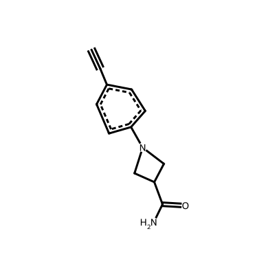 C#Cc1ccc(N2CC(C(N)=O)C2)cc1